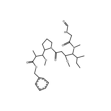 CCC(C)C(C(CC(=O)N1CCCC1C(OC)C(C)C(=O)OCc1ccccc1)OC)N(C)C(=O)CNC=O